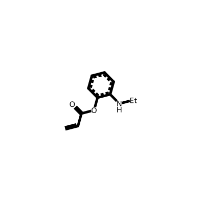 C=CC(=O)Oc1ccccc1NCC